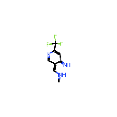 CN/C=C1/C=NC(C(F)(F)F)=CC1=N